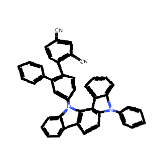 N#Cc1ccc(-c2ccc(-n3c4ccccc4c4ccc5c(c6ccccc6n5-c5ccccc5)c43)cc2-c2ccccc2)c(C#N)c1